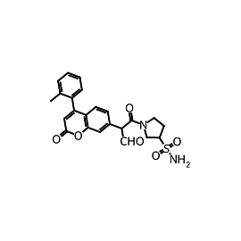 Cc1ccccc1-c1cc(=O)oc2cc(C(C=O)C(=O)N3CCC(S(N)(=O)=O)C3)ccc12